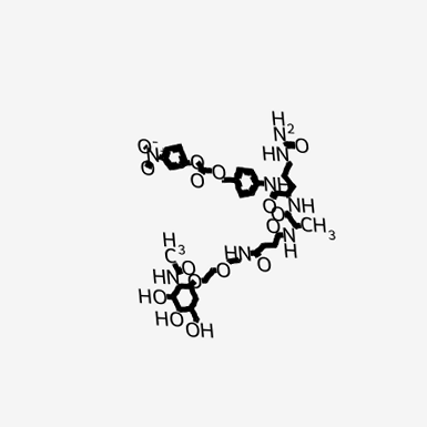 CC(=O)NC1C(OCCOCCNC(=O)CCC(=O)NC(C)C(=O)NC(CCCNC(N)=O)C(=O)Nc2ccc(COC(=O)Oc3ccc([N+](=O)[O-])cc3)cc2)CC(CO)C(O)C1O